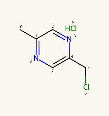 Cc1cnc(CCl)cn1.Cl